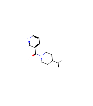 CC(C)C1CCN(C(=O)c2cccnc2)CC1